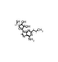 CCCc1nc(N)c2ncn([C@@H]3O[C@H](CS)[C@@H](O)[C@H]3O)c2n1